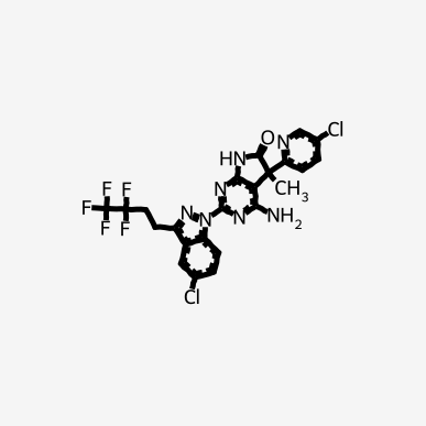 CC1(c2ccc(Cl)cn2)C(=O)Nc2nc(-n3nc(CCC(F)(F)C(F)(F)F)c4cc(Cl)ccc43)nc(N)c21